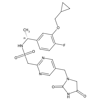 C[C@@H](NS(=O)(=O)Cc1ncc(CN2CC(=O)NC2=O)cn1)c1ccc(F)c(OCC2CC2)c1